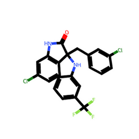 O=C1Nc2cc(Cl)ccc2C1(Cc1cccc(Cl)c1)Nc1cccc(C(F)(F)F)c1